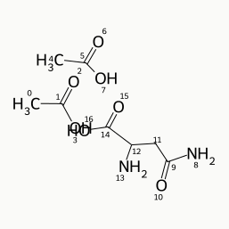 CC(=O)O.CC(=O)O.NC(=O)CC(N)C(=O)O